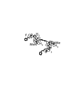 CN[C@@H](C)C(=O)NC(C(=O)N1CCC[C@H]1CN(CCCc1ccccc1)C(=O)C(F)(F)F)C(C)OCC#CC#CCOC(C)C(NC(=O)[C@H](C)NC)C(=O)N1CCC[C@H]1CN(CCc1ccccc1)C(=O)C(F)(F)F